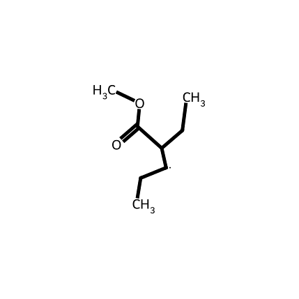 CC[CH]C(CC)C(=O)OC